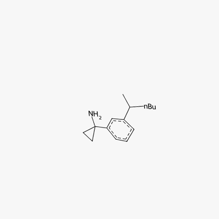 CCCCC(C)c1cccc(C2(N)CC2)c1